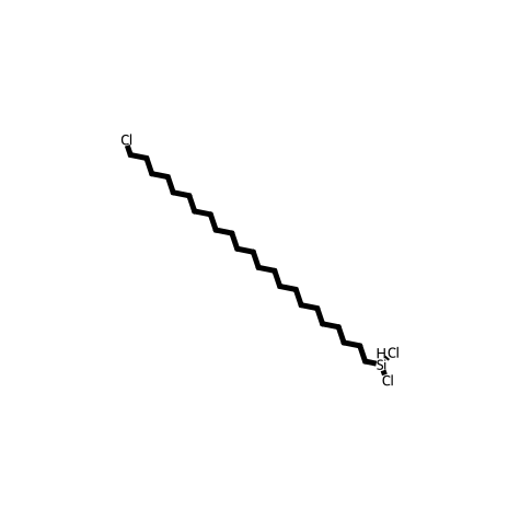 ClCCCCCCCCCCCCCCCCCCCCCCC[SiH](Cl)Cl